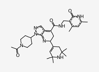 CC(=O)N1CCC(n2ncc3c2=NC(C2=CC(C)(C)NC(C)(C)C2)CC=3C(=O)NCc2c(C)cc(C)[nH]c2=O)CC1